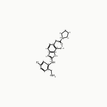 NCc1ccc(F)cc1Nc1nc2ccc(CC(=O)N3C[CH]CC3)c(F)c2o1